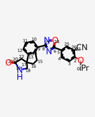 CC(C)Oc1ccc(-c2nc(-c3cccc4c3CCC43CNC(=O)C3)no2)cc1C#N